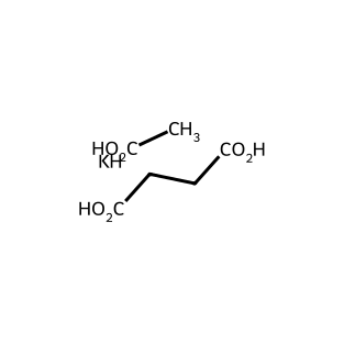 CC(=O)O.O=C(O)CCC(=O)O.[KH]